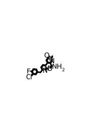 Cn1nc(C(N)=O)c(-c2ccc(Cc3ccc(F)c(Cl)c3)nn2)cc1=O